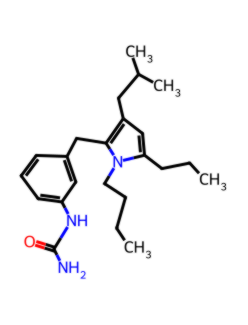 CCCCn1c(CCC)cc(CC(C)C)c1Cc1cccc(NC(N)=O)c1